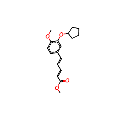 COC(=O)C=CC=Cc1ccc(OC)c(OC2CCCC2)c1